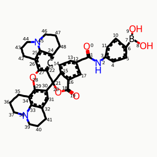 O=C(Nc1ccc(B(O)O)cc1)c1ccc2c(c1)C(=O)OC21c2cc3c4c(c2Oc2c1cc1c5c2CCCN5CCC1)CCCN4CCC3